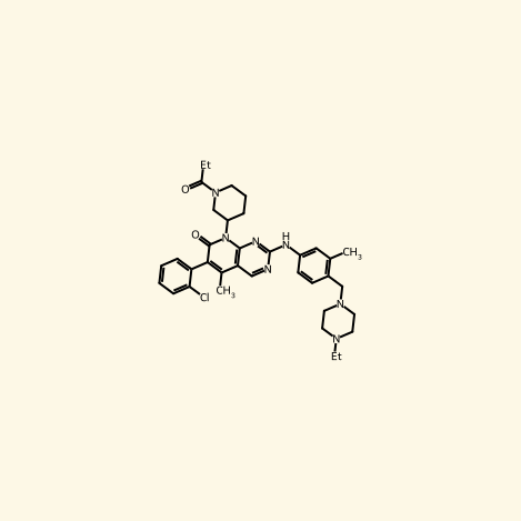 CCC(=O)N1CCCC(n2c(=O)c(-c3ccccc3Cl)c(C)c3cnc(Nc4ccc(CN5CCN(CC)CC5)c(C)c4)nc32)C1